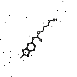 Cc1nc2ccc(OC(=O)OCCCSS)cc2s1